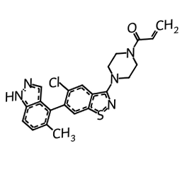 C=CC(=O)N1CCN(c2nsc3cc(-c4c(C)ccc5[nH]ncc45)c(Cl)cc23)CC1